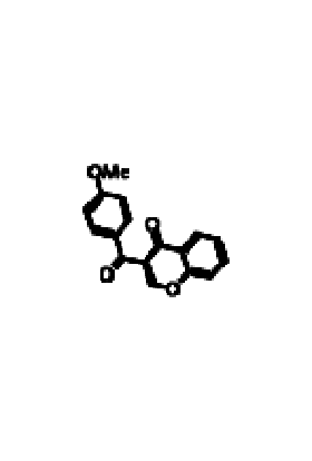 COc1ccc(C(=O)c2coc3ccccc3c2=O)cc1